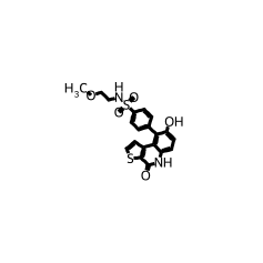 COCCNS(=O)(=O)c1ccc(-c2c(O)ccc3[nH]c(=O)c4sccc4c23)cc1